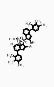 CCCC1=Cc2c(-c3ccc(C)c(C)c3C)cccc2[CH]1[Zr]([Cl])([Cl])([B](NC=O)NC=O)[CH]1C(CCC)=Cc2c(-c3ccc(C)c(C)c3C)cccc21